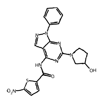 O=C(Nc1nc(N2CCC(O)C2)nc2c1cnn2-c1ccccc1)c1ccc([N+](=O)[O-])s1